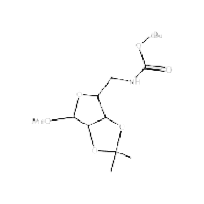 COC1OC(CNC(=O)OC(C)(C)C)C2OC(C)(C)OC12